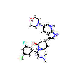 CN(C)/C=C(/c1cc(F)cc(Cl)c1)n1ccc(-c2c[nH]c3ncc(N4CCOCC4)cc23)cc1=O